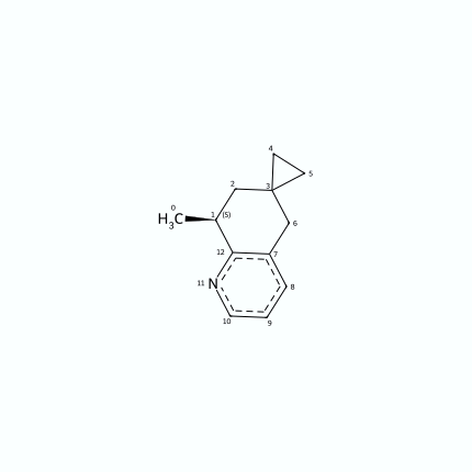 C[C@H]1CC2(CC2)Cc2cccnc21